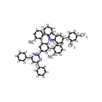 N#Cc1ccccc1-c1cc(-c2nc(-c3ccccc3)cc(-c3ccccc3)n2)cc(-c2ccccc2C#N)c1-n1c2ccccc2c2cc(-c3ccc(C(F)(F)F)cc3C(F)(F)F)ccc21